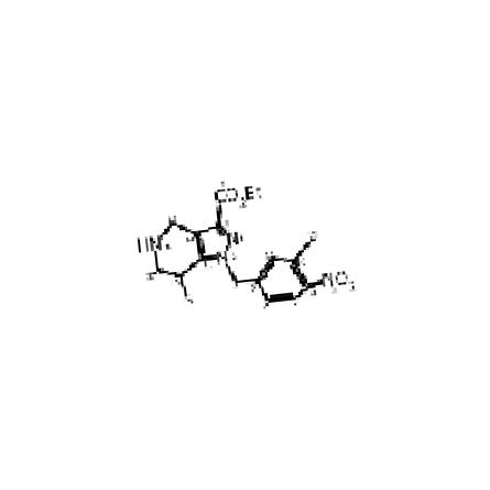 CCOC(=O)c1nn(Cc2ccc([N+](=O)[O-])c(C)c2)c2c1CNCC2C